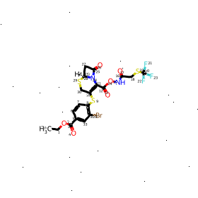 CCOC(=O)c1ccc(SC2=C(C(=O)ONC(=O)CSC(F)(F)F)N3C(=O)C[C@@H]3SC2)c(Br)c1